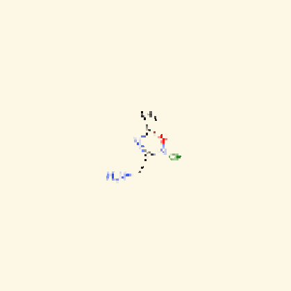 Cc1nc(CN)no1.Cl